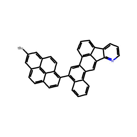 CC(C)(C)c1cc2ccc3ccc(-c4cc5c6cccc7c6c(cc5c5ccccc45)-c4ncccc4-7)c4ccc(c1)c2c34